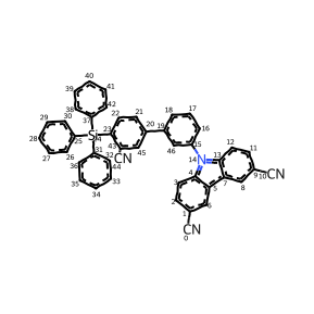 N#Cc1ccc2c(c1)c1cc(C#N)ccc1n2-c1cccc(-c2ccc([Si](c3ccccc3)(c3ccccc3)c3ccccc3)c(C#N)c2)c1